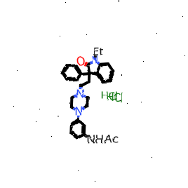 CCN1C(=O)C(CCN2CCN(c3cccc(NC(C)=O)c3)CC2)(c2ccccc2)c2ccccc21.Cl.Cl